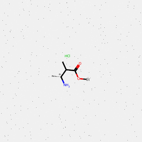 CCOC(=O)C(C)[C@@H](C)N.Cl